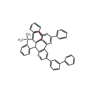 C[Si]1(C)c2ccccc2C(c2ncc(-c3cccc(-c4ccccc4)c3)cc2-c2nc(-c3ccccc3)nc(-c3ccccc3)n2)c2ccccc21